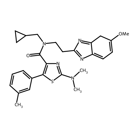 COC1=CC=C2N=C(CCN(CC3CC3)C(=O)c3nc(N(C)C)sc3-c3cccc(C)c3)N=C2C1